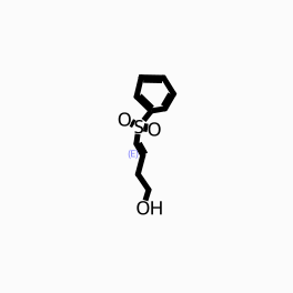 O=S(=O)(/C=C/CCO)c1ccccc1